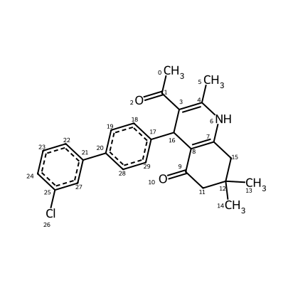 CC(=O)C1=C(C)NC2=C(C(=O)CC(C)(C)C2)C1c1ccc(-c2cccc(Cl)c2)cc1